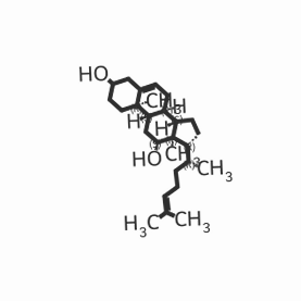 CC(C)=CCC[C@@H](C)[C@H]1CC[C@H]2[C@@H]3CC=C4CC(O)CC[C@]4(C)[C@H]3C[C@H](O)[C@]12C